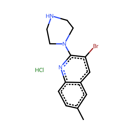 Cc1ccc2nc(N3CCNCC3)c(Br)cc2c1.Cl